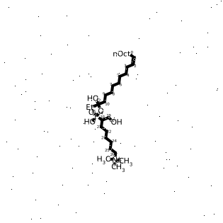 CCCCCCCC/C=C\CCCCCCCCC(O)(CC)OP(=O)(O)C(CO)CCCCCC[N+](C)(C)C